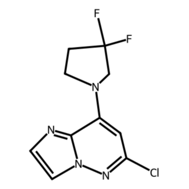 FC1(F)CCN(c2cc(Cl)nn3ccnc23)C1